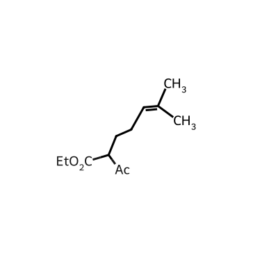 CCOC(=O)C(CCC=C(C)C)C(C)=O